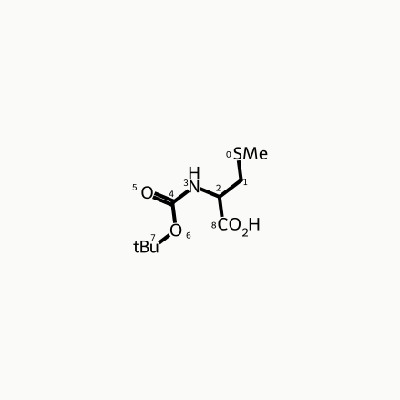 CSCC(NC(=O)OC(C)(C)C)C(=O)O